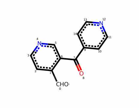 O=[C]c1ccncc1C(=O)c1ccncc1